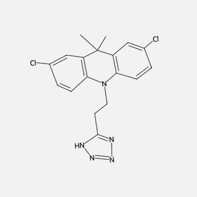 CC1(C)c2cc(Cl)ccc2N(CCc2nnn[nH]2)c2ccc(Cl)cc21